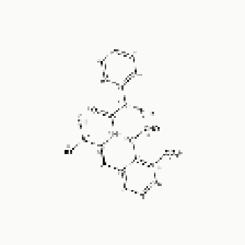 N[C@H](C(=O)N[C@@H](Cc1cccc(C(=O)O)c1OC=O)B(O)O)c1ccccc1